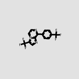 FC(F)(F)c1ccc(-c2nccn3c(C(F)(F)F)cnc23)cc1